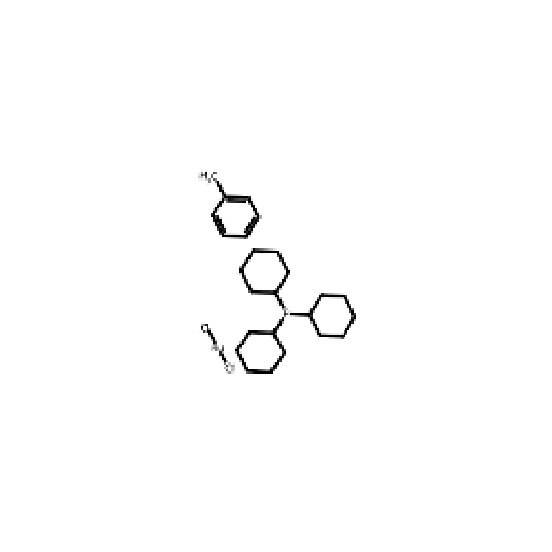 C1CCC(P(C2CCCCC2)C2CCCCC2)CC1.Cc1ccccc1.[Cl][Ru][Cl]